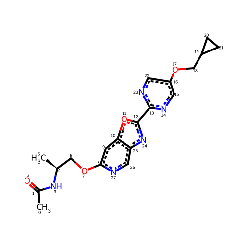 CC(=O)N[C@@H](C)COc1cc2oc(-c3ncc(OCC4CC4)cn3)nc2cn1